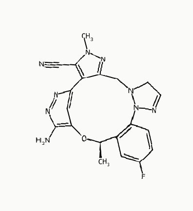 C[C@H]1Oc2cc(nnc2N)-c2c(nn(C)c2C#N)CN2CC=NN2c2ccc(F)cc21